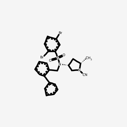 C[C@H]1C[C@@H](N(Cc2ccccc2-c2ccccc2)S(=O)(=O)c2cc(Br)ccc2Br)CN1C#N